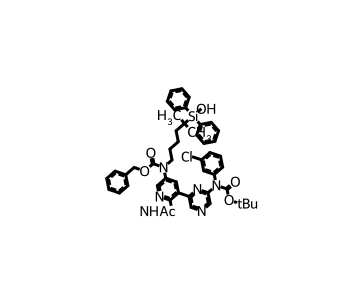 CC(=O)Nc1ncc(N(CCCCC(C)(C)[Si](O)(c2ccccc2)c2ccccc2)C(=O)OCc2ccccc2)cc1-c1cncc(N(C(=O)OC(C)(C)C)c2cccc(Cl)c2)n1